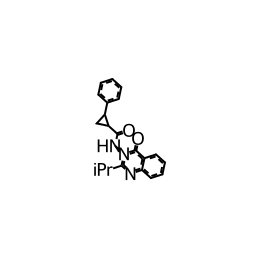 CC(C)c1nc2ccccc2c(=O)n1NC(=O)C1CC1c1ccccc1